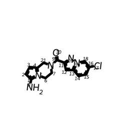 Nc1ccc2n1CCN(C(=O)c1cc3ccc(Cl)cn3n1)C2